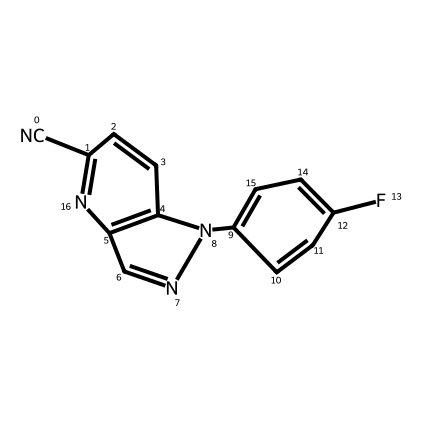 N#Cc1ccc2c(cnn2-c2ccc(F)cc2)n1